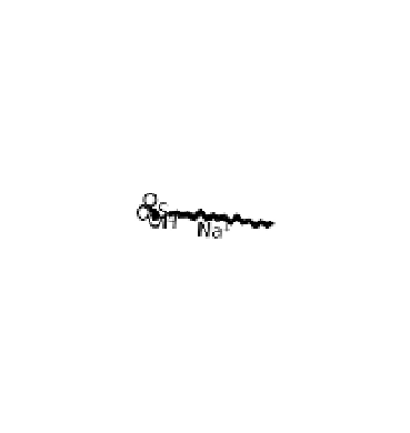 CCCCCCCCCCCCCCCCCCSC(O)C(=O)[O-].[Na+]